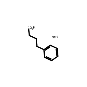 O=C(O)CCCc1ccccc1.[NaH]